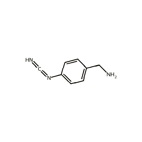 N=C=Nc1ccc(CN)cc1